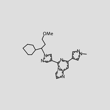 COCCC(C1CCCCC1)n1cc(-c2nc(-c3cnn(C)c3)cc3nccn23)cn1